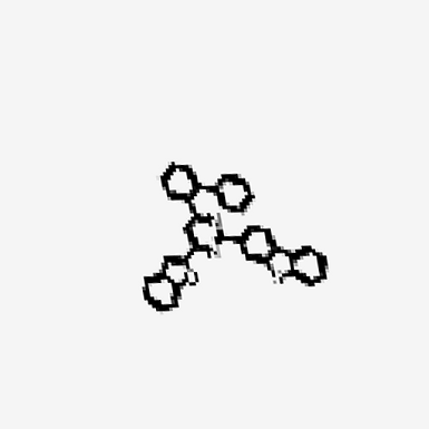 c1ccc(-c2ccccc2-c2cc(-c3cc4ccccc4o3)nc(-c3ccc4c(c3)sc3ccccc34)n2)cc1